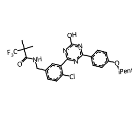 CCC[C@H](C)Oc1ccc(-c2nc(O)nc(-c3cc(CNC(=O)C(C)(C)C(F)(F)F)ccc3Cl)n2)cc1